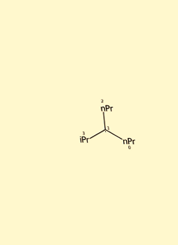 [CH2]CC[C](CCC)C(C)C